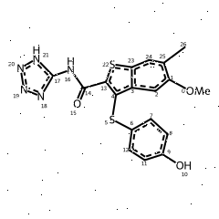 COc1cc2c(Sc3ccc(O)cc3)c(C(=O)Nc3nnn[nH]3)sc2cc1C